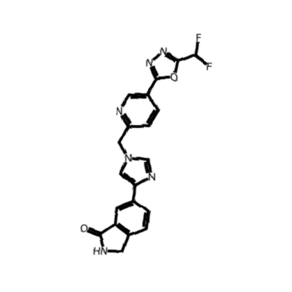 O=C1NCc2ccc(-c3cn(Cc4ccc(-c5nnc(C(F)F)o5)cn4)cn3)cc21